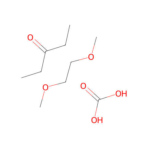 CCC(=O)CC.COCCOC.O=C(O)O